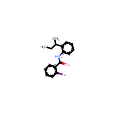 CCC(C)c1ccccc1NC(=O)c1ccccc1I